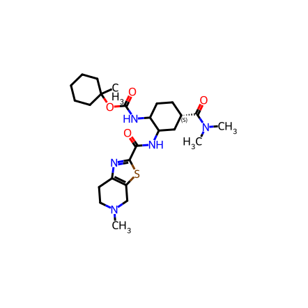 CN1CCc2nc(C(=O)NC3C[C@@H](C(=O)N(C)C)CCC3NC(=O)OC3(C)CCCCC3)sc2C1